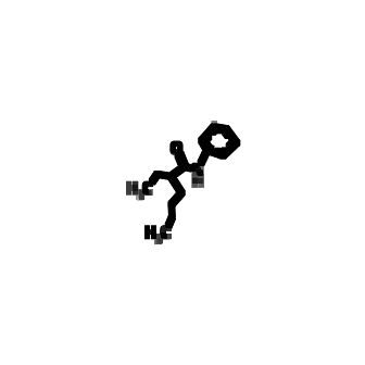 CCCCC(CC)C(=O)Nc1c[c]ccc1